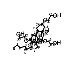 CCCC[C@@H](C)[C@H]1CC[C@H]2[C@@H]3[C@H](OCCO)C[C@@H]4C[C@H](OCCO)CC[C@]4(C)[C@H]3C[C@H](OCCO)[C@]12C